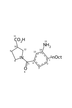 CCCCCCCCc1ccc(C(=O)N2CCC(C(=O)O)C2)cc1N